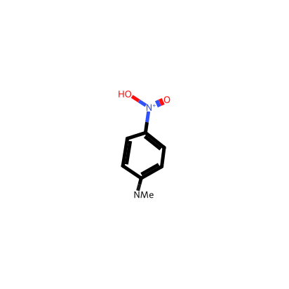 CNc1ccc([N+](=O)O)cc1